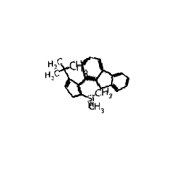 C[SiH](C)C1=C(c2cccc3c2Cc2ccccc2-3)C(C(C)(C)C)=CC1